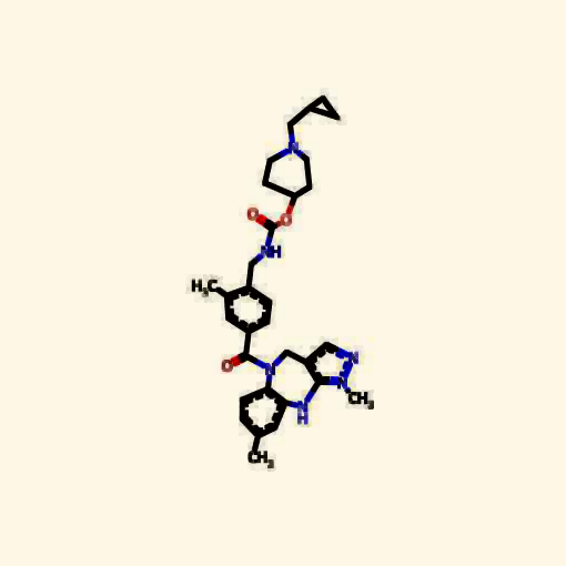 Cc1ccc2c(c1)Nc1c(cnn1C)CN2C(=O)c1ccc(CNC(=O)OC2CCN(CC3CC3)CC2)c(C)c1